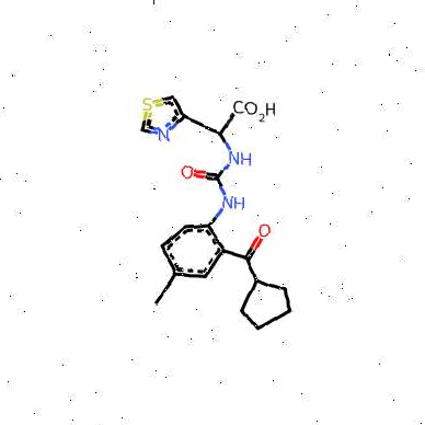 Cc1ccc(NC(=O)NC(C(=O)O)c2cscn2)c(C(=O)C2CCCC2)c1